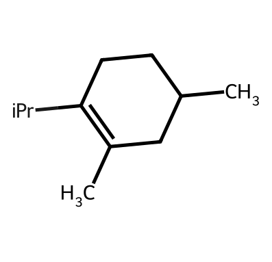 CC1=C(C(C)C)CCC(C)C1